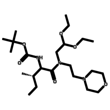 CCOC(CN(CCN1CCOCC1)C(=O)C(NC(=O)OC(C)(C)C)[C@@H](C)CC)OCC